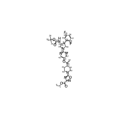 CCOC(=O)c1noc(N2CCC([C@H](C)Oc3cnc(N4C[C@H](NC(=O)OC(C)(C)C)[C@@H](c5cc(F)ccc5F)C4)nc3)CC2)n1